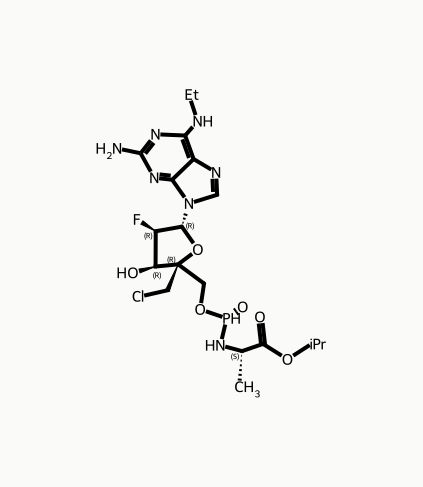 CCNc1nc(N)nc2c1ncn2[C@@H]1O[C@](CCl)(CO[PH](=O)N[C@@H](C)C(=O)OC(C)C)[C@@H](O)[C@H]1F